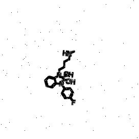 CNCCCCN1c2ccccc2N(c2ccc(F)cc2)S1(O)O